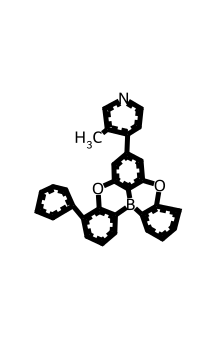 Cc1cnccc1-c1cc2c3c(c1)Oc1c(cccc1-c1ccccc1)B3c1ccccc1O2